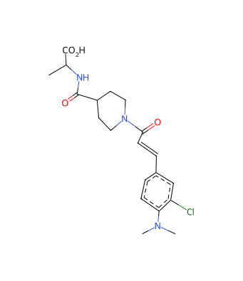 CC(NC(=O)C1CCN(C(=O)C=Cc2ccc(N(C)C)c(Cl)c2)CC1)C(=O)O